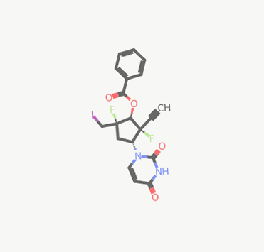 C#C[C@@]1(F)[C@H](OC(=O)c2ccccc2)[C@@](F)(CI)C[C@H]1n1ccc(=O)[nH]c1=O